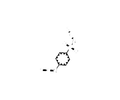 O=S(=O)(N=C=S)c1ccc(N=C=S)cc1